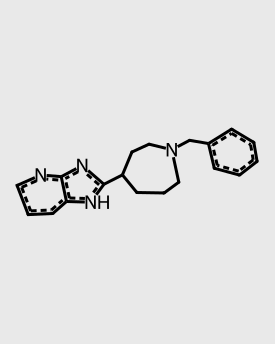 c1ccc(CN2CCCC(c3nc4ncccc4[nH]3)CC2)cc1